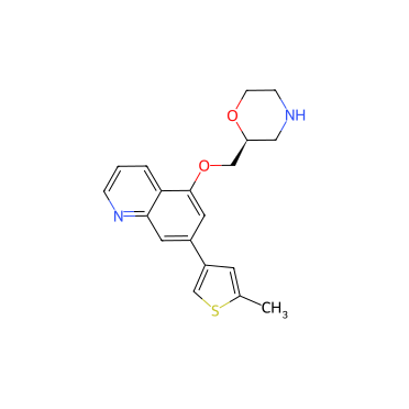 Cc1cc(-c2cc(OC[C@@H]3CNCCO3)c3cccnc3c2)cs1